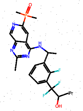 Cc1nc(NC(C)c2cccc(C(F)(F)C(O)C(C)C)c2F)c2cc(P(C)(C)=O)ncc2n1